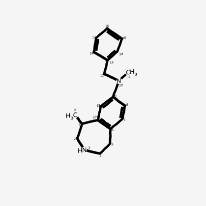 CC1CNCCc2ccc(N(C)Cc3ccccc3)cc21